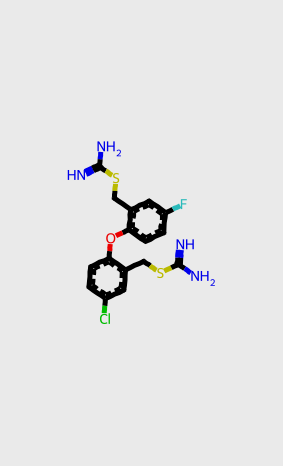 N=C(N)SCc1cc(F)ccc1Oc1ccc(Cl)cc1CSC(=N)N